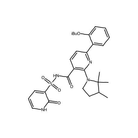 CC(C)COc1ccccc1-c1ccc(C(=O)NS(=O)(=O)c2ccc[nH]c2=O)c(N2CCC(C)C2(C)C)n1